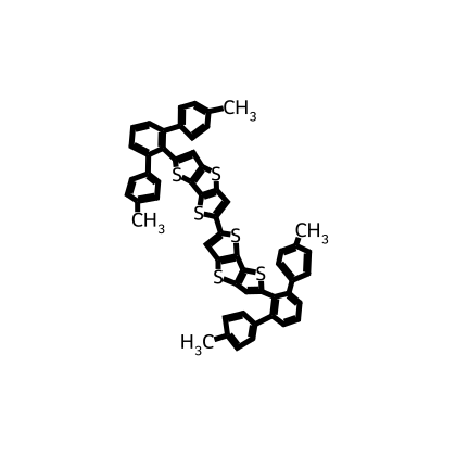 Cc1ccc(-c2cccc(-c3ccc(C)cc3)c2-c2cc3sc4cc(-c5cc6sc7cc(-c8c(-c9ccc(C)cc9)cccc8-c8ccc(C)cc8)sc7c6s5)sc4c3s2)cc1